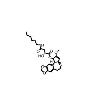 CCCCCCNC(=O)C[C@@H](O)C(=O)OC1C(OC)=CC23CCCN2CCc2cc4c(cc2[C@H]13)OCO4